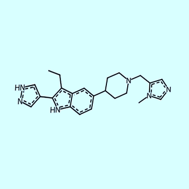 CCc1c(-c2cn[nH]c2)[nH]c2ccc(C3CCN(Cc4cncn4C)CC3)cc12